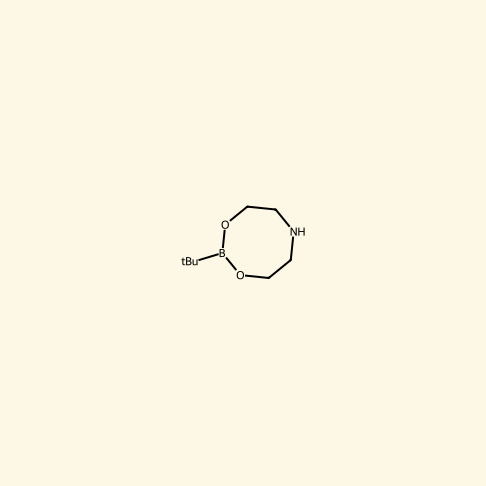 CC(C)(C)B1OCCNCCO1